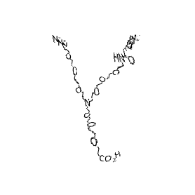 [N-]=[N+]=NCCOCCOCCOCCN(CCOCCOCCOCCNC(=O)CN=[N+]=[N-])CCOCCOCCOCCC(=O)O